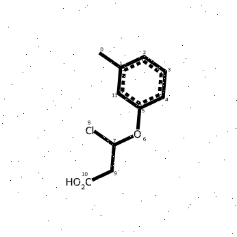 Cc1cccc(OC(Cl)CC(=O)O)c1